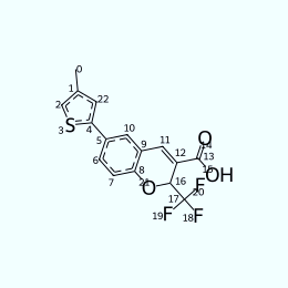 Cc1csc(-c2ccc3c(c2)C=C(C(=O)O)C(C(F)(F)F)O3)c1